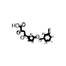 O=C(O)C(=O)CC(=O)c1ccc(OCc2cccc(F)c2)s1